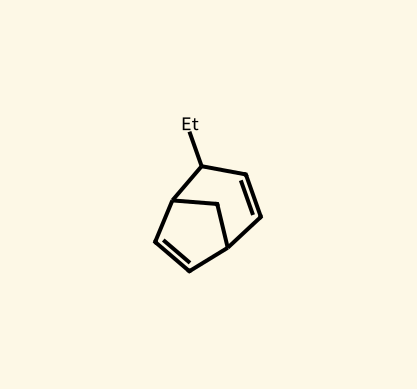 CCC1C=CC2C=CC1C2